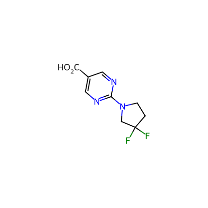 O=C(O)c1cnc(N2CCC(F)(F)C2)nc1